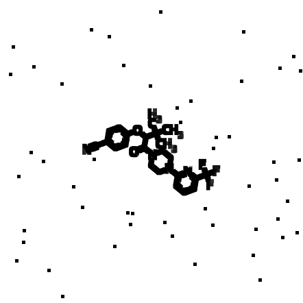 CC(C)(C)C(Oc1ccc(C#N)cc1)C(=O)N1CCN(c2cccc(C(F)(F)F)n2)CC1